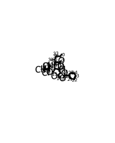 CC1O[C@@H](O[C@@H]2C[C@@H](OC(=N)C(Cl)(Cl)Cl)OC3COC(c4ccccc4)O[C@@H]32)C(C)[C@@H](C)[C@@H]1C